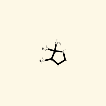 CC1CCSC1(C)C